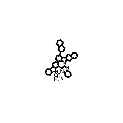 CC1(C)c2ccccc2-c2cccc(-c3nc4ccccc4nc3-n3c4cc5ccccc5cc4c4c(-c5ccc6ccccc6c5)cccc43)c21